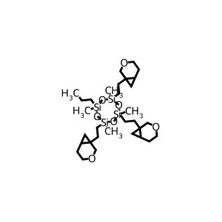 CCC[Si]1(C)O[Si](C)(CCC23COCCC2C3)O[Si](C)(CCC23COCCC2C3)O[Si](C)(CCC23COCCC2C3)O1